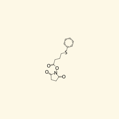 O=C(CCCSc1ccccc1)ON1C(=O)CCC1=O